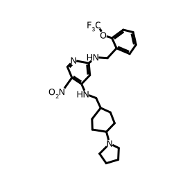 O=[N+]([O-])c1cnc(NCc2ccccc2OC(F)(F)F)cc1NCC1CCC(N2CCCC2)CC1